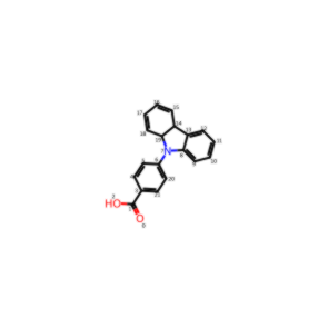 O=C(O)c1ccc(N2c3ccccc3C3C=CC=CC32)cc1